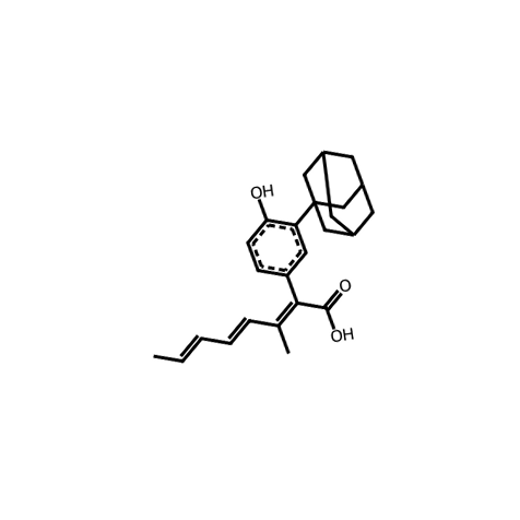 CC=CC=CC(C)=C(C(=O)O)c1ccc(O)c(C23CC4CC(CC(C4)C2)C3)c1